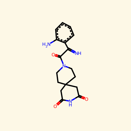 N=C(C(=O)N1CCC2(CC1)CC(=O)NC(=O)C2)c1ccccc1N